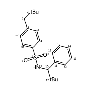 CC(C)(C)Cc1ccc(S(=O)(=O)NC(c2ccccc2)C(C)(C)C)cc1